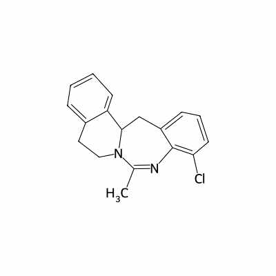 CC1=Nc2c(Cl)cccc2CC2c3ccccc3CCN12